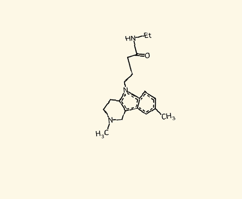 CCNC(=O)CCCn1c2c(c3cc(C)ccc31)CN(C)CC2